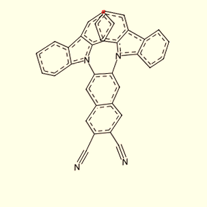 N#Cc1cc2cc(-n3c4ccccc4c4ccccc43)c(-n3c4ccccc4c4ccccc43)cc2cc1C#N